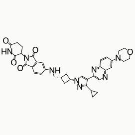 O=C1CCC(N2C(=O)c3ccc(NC[C@H]4C[C@H](n5cc(-c6cnc7cc(N8CCOCC8)ccc7n6)c(C6CC6)n5)C4)cc3C2=O)C(=O)N1